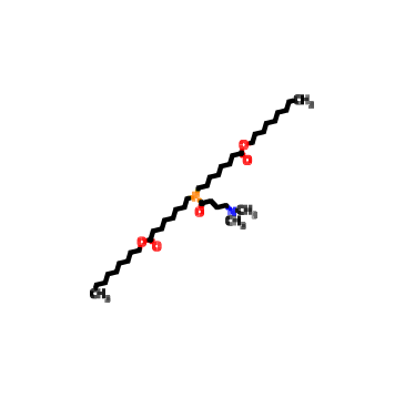 CCCCCCCCCOC(=O)CCCCCCCP(CCCCCCCC(=O)OCCCCCCCCC)C(=O)CCCN(C)C